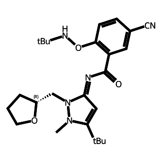 Cn1c(C(C)(C)C)cc(=NC(=O)c2cc(C#N)ccc2ONC(C)(C)C)n1C[C@H]1CCCO1